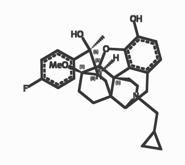 CO[C@]12CCC3(C[C@@H]1[C@](C)(O)c1ccc(F)cc1)C1Cc4ccc(O)c5c4[C@@]3(CCN1CC1CC1)[C@@H]2O5